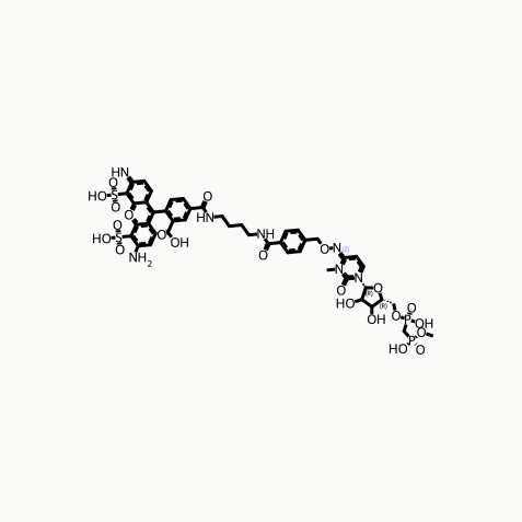 COP(=O)(O)CP(=O)(O)OC[C@H]1O[C@@H](n2cc/c(=N/OCc3ccc(C(=O)NCCCCNC(=O)c4ccc(-c5c6ccc(=N)c(S(=O)(=O)O)c-6oc6c(S(=O)(=O)O)c(N)ccc56)c(C(=O)O)c4)cc3)n(C)c2=O)C(O)C1O